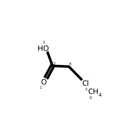 C.O=C(O)CCl